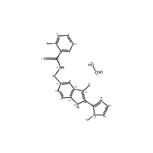 Cc1ncncc1C(=O)NCc1ccc2[nH]c(-c3nccn3C)c(C)c2c1.O=CO